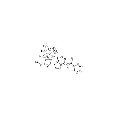 CC[C@H]1O[C@@H](n2cnc3c(NC(=O)c4ccccc4)ncnc32)[C@@H](O[Si](C)(C)C(C)(C)C)C1C